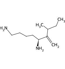 C=C(C(C)CC)[C@@H](N)CCCCN